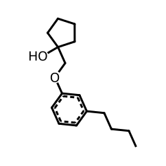 CCCCc1cccc(OCC2(O)CCCC2)c1